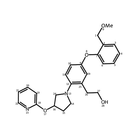 COCc1ccccc1Oc1ccc(N2CCC(Oc3ccccn3)C2)c(CCO)c1